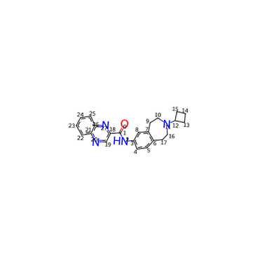 O=C(Nc1ccc2c(c1)CCN(C1CCC1)CC2)c1cnc2ccccc2n1